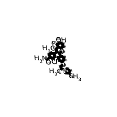 CC1=C(c2ccc(C(N)=O)c(Cl)c2)C(c2ccc(OC[C@H](C)N3CC[C@@H](C)C3)cc2)Oc2ccc(O)c(F)c21